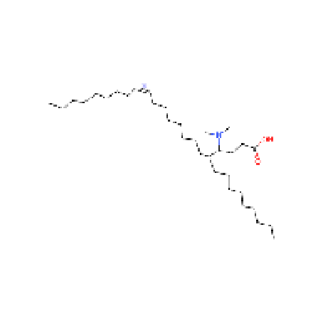 CCCCCCCC/C=C\CCCCCCCC(CCCCCCCCC)C(CCC(=O)O)N(C)C